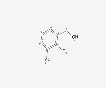 CC(=O)c1cccc(CO)c1F